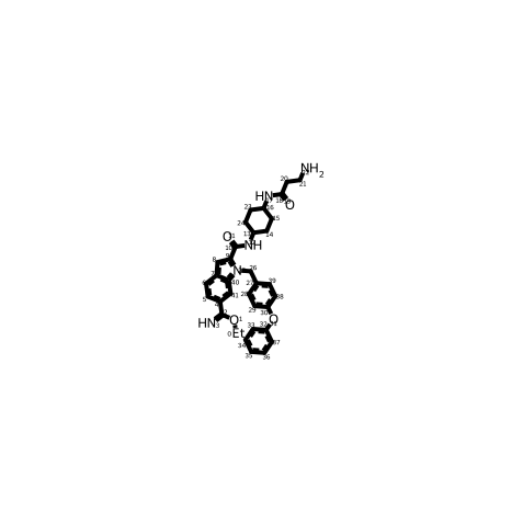 CCOC(=N)c1ccc2cc(C(=O)NC3CCC(NC(=O)CCN)CC3)n(Cc3ccc(Oc4ccccc4)cc3)c2c1